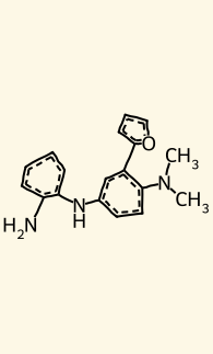 CN(C)c1ccc(Nc2ccccc2N)cc1-c1ccco1